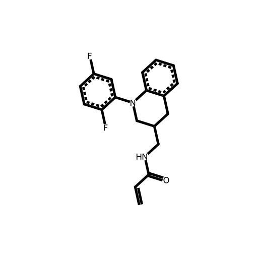 C=CC(=O)NCC1Cc2ccccc2N(c2cc(F)ccc2F)C1